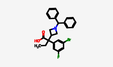 CCC(C(=O)O)(c1cc(F)cc(Br)c1)C1CN(C(c2ccccc2)c2ccccc2)C1